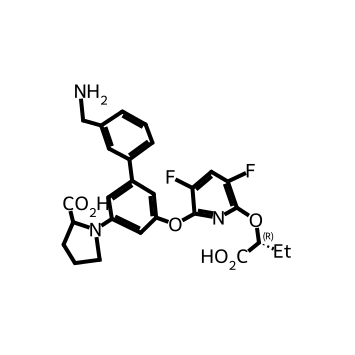 CC[C@@H](Oc1nc(Oc2cc(-c3cccc(CN)c3)cc(N3CCCC3C(=O)O)c2)c(F)cc1F)C(=O)O